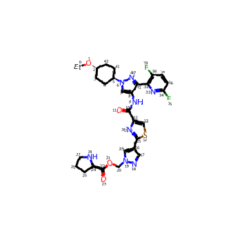 CCO[C@H]1CC[C@H](n2cc(NC(=O)c3csc(-c4cnn(COC(=O)C5CCCN5)c4)n3)c(-c3nc(F)ccc3F)n2)CC1